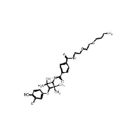 CC1(C)C(NC(=O)c2ccc(C(=O)NCCOCCOCCCN)cc2)C(C)(C)C1Oc1ccc(C#N)c(Cl)c1